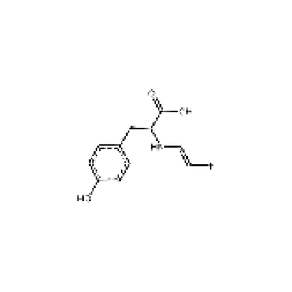 O=C(O)[C@H](Cc1ccc(O)cc1)NC=CF